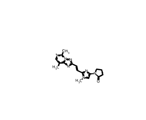 Cc1cnc(C)n2nc(C=Cc3nc(N4CCCC4=O)cn3C)nc12